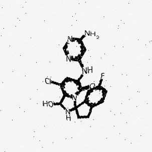 Nc1cc(Nc2cc(Cl)c3n(c2=O)C2(CCc4ccc(F)cc42)NC3O)ncn1